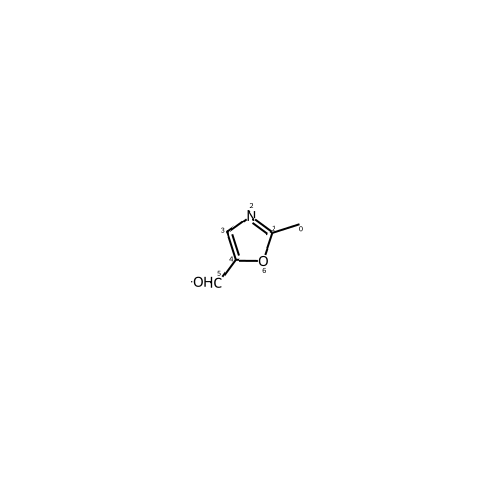 Cc1ncc([C]=O)o1